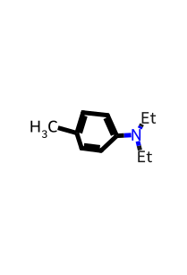 [CH2]CN(CC)c1ccc(C)cc1